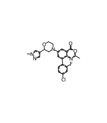 Cc1nc2c(-c3ccc(Cl)cc3F)cc(N3CCOC(c4cnn(C)c4)C3)cc2c(=O)o1